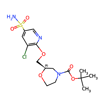 CC(C)(C)OC(=O)N1CCO[C@@H](COc2ncc(S(N)(=O)=O)cc2Cl)C1